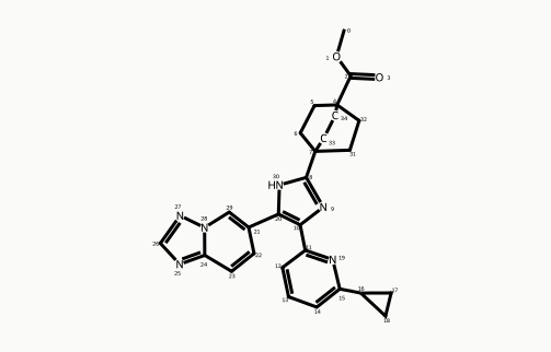 COC(=O)C12CCC(c3nc(-c4cccc(C5CC5)n4)c(-c4ccc5ncnn5c4)[nH]3)(CC1)CC2